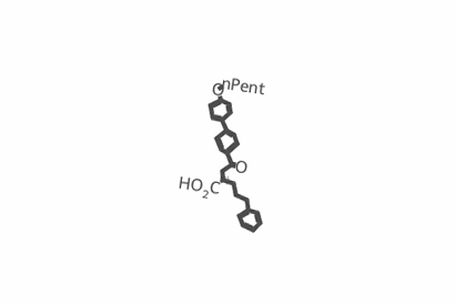 CCCCCOc1ccc(-c2ccc(C(=O)C[C@@H](CCCc3ccccc3)C(=O)O)cc2)cc1